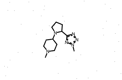 CN1CCC(N2CCCC2c2nnn(C)n2)CC1